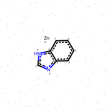 [Zn].[c]1nc2ccccc2[nH]1